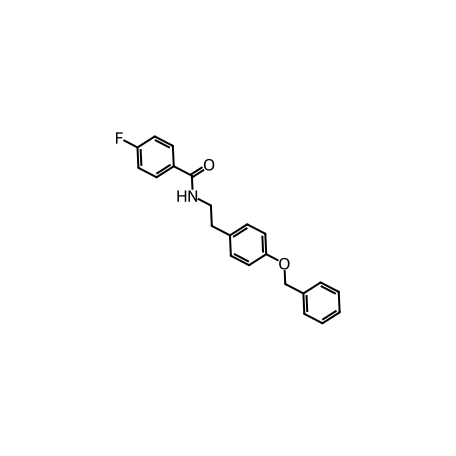 O=C(NCCc1ccc(OCc2ccccc2)cc1)c1ccc(F)cc1